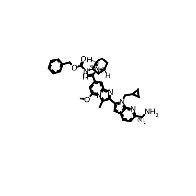 COc1cc(C(=O)N2[C@H]3CC[C@@H]2[C@H](NC(=O)OCc2ccccc2)C3)cc2nc(-c3cc4ccc([C@@H](C)N)nc4n3CC3CC3)c(C)n12